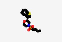 CCCCS(=O)(=O)N1CCO[C@H](c2csc3ccccc23)C1